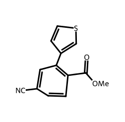 COC(=O)c1ccc(C#N)cc1-c1ccsc1